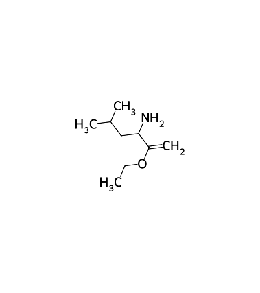 C=C(OCC)C(N)CC(C)C